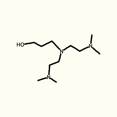 CN(C)CCN(CCCO)CCN(C)C